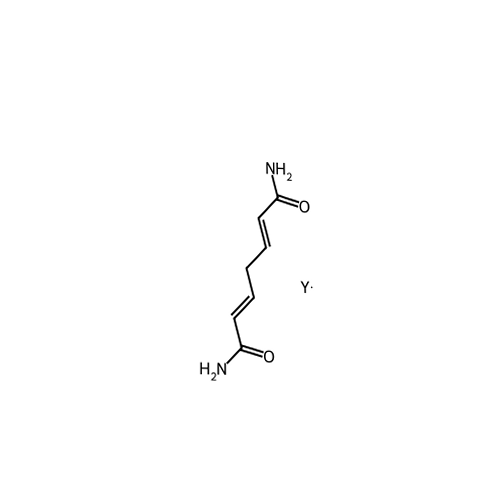 NC(=O)C=CCC=CC(N)=O.[Y]